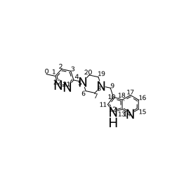 Cc1ccc(N2CCN(Cc3c[nH]c4ncccc34)CC2)nn1